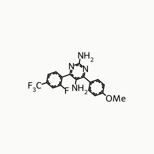 COc1ccc(-c2nc(N)nc(-c3ccc(C(F)(F)F)cc3F)c2N)cc1